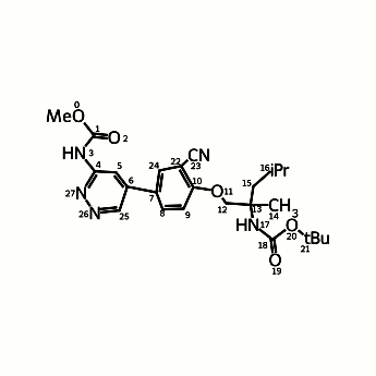 COC(=O)Nc1cc(-c2ccc(OCC(C)(CC(C)C)NC(=O)OC(C)(C)C)c(C#N)c2)cnn1